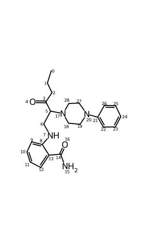 CCCC(=O)C(CNc1ccccc1C(N)=O)N1CCN(c2ccccc2)CC1